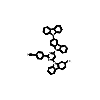 CC1C=Cc2c(n(-c3cc(-n4c5ccccc5c5cc(-n6c7ccccc7c7ccccc76)ccc54)nc(-c4ccc(C#N)cc4)n3)c3ccccc23)C1